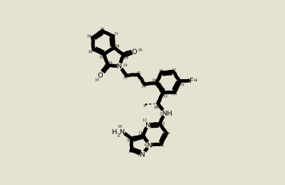 C[C@@H](Nc1ccn2ncc(N)c2n1)c1cc(F)ccc1CCCN1C(=O)c2ccccc2C1=O